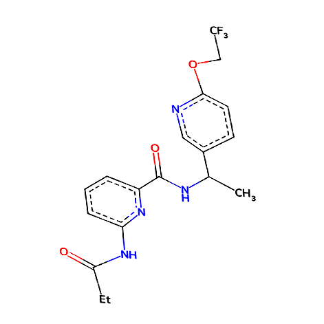 CCC(=O)Nc1cccc(C(=O)NC(C)c2ccc(OCC(F)(F)F)nc2)n1